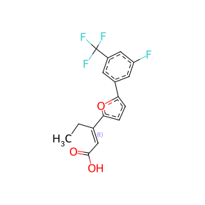 CC/C(=C\C(=O)O)c1ccc(-c2cc(F)cc(C(F)(F)F)c2)o1